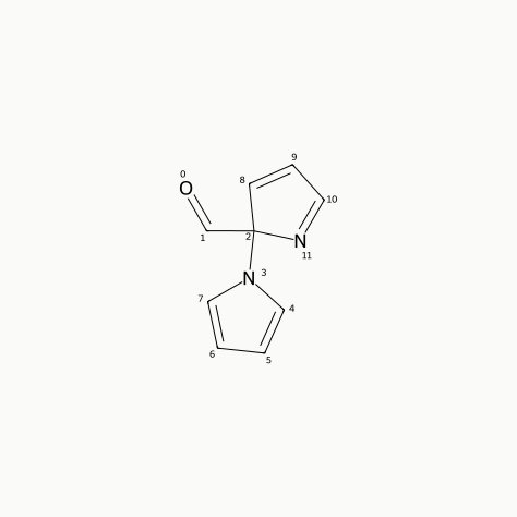 O=CC1(n2cccc2)C=CC=N1